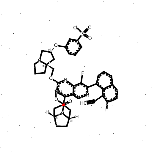 C#Cc1c(F)ccc2cccc(-c3ncc4c(N5C[C@H]6CC[C@@H](C5)N6C(=O)OC(C)(C)C)nc(OC[C@@]56CCCN5C[C@H](Oc5cccc(S(=O)(=O)Cl)c5)C6)nc4c3F)c12